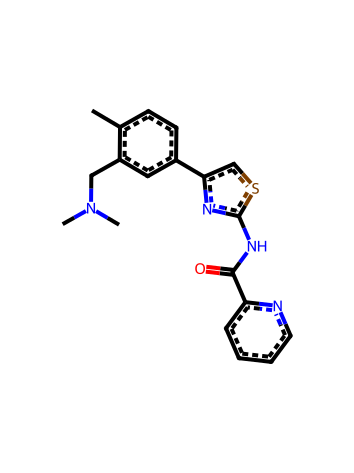 Cc1ccc(-c2csc(NC(=O)c3ccccn3)n2)cc1CN(C)C